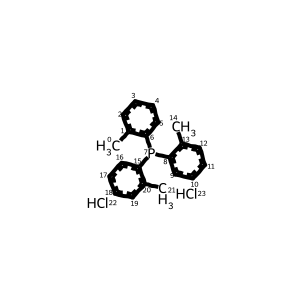 Cc1ccccc1P(c1ccccc1C)c1ccccc1C.Cl.Cl